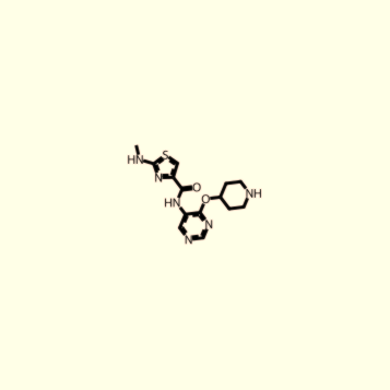 CNc1nc(C(=O)Nc2cncnc2OC2CCNCC2)cs1